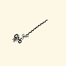 CCCCCCCCCCCCCCCCCCNC(=O)OCC1(C(C[n+]2ccccc2)OP(=O)([O-])OC)CCCC1